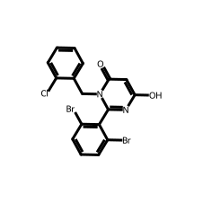 O=c1cc(O)nc(-c2c(Br)cccc2Br)n1Cc1ccccc1Cl